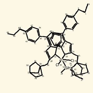 CCCc1ccc(-c2cccc3c2C=C(CC24CCC(CC2)C4)[CH]3[Zr]([Cl])([Cl])([CH]2C(CC34CCC(CC3)C4)=Cc3c(-c4ccc(CCC)cc4)cccc32)[SiH](C)CCC)cc1